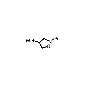 CNC1CON(C(C)C)C1